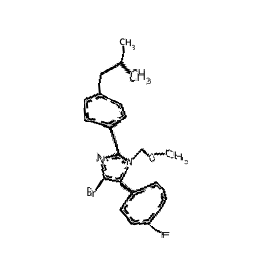 COCn1c(-c2ccc(CC(C)C)cc2)nc(Br)c1-c1ccc(F)cc1